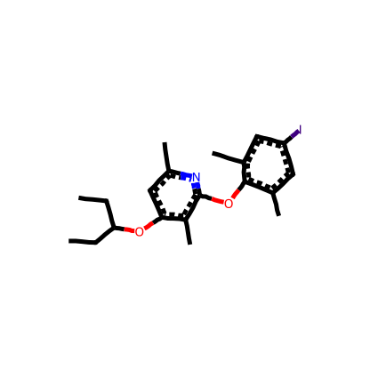 CCC(CC)Oc1cc(C)nc(Oc2c(C)cc(I)cc2C)c1C